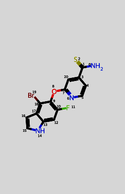 NC(=S)c1ccnc(Oc2c(F)cc3[nH]ccc3c2Br)c1